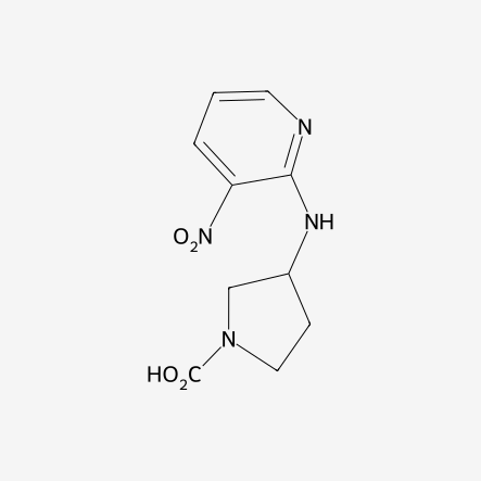 O=C(O)N1CCC(Nc2ncccc2[N+](=O)[O-])C1